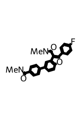 CNC(=O)c1ccc(-c2ccc3oc(-c4ccc(F)cc4)c(C(=O)NC)c3c2)cc1